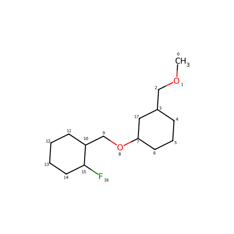 COCC1CCCC(OCC2CCCCC2F)C1